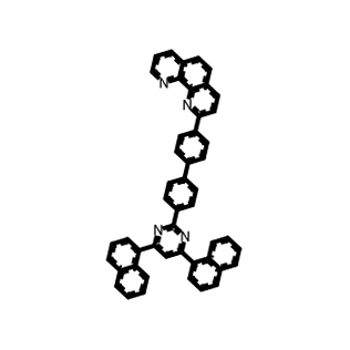 c1ccc2c(-c3cc(-c4cccc5ccccc45)nc(-c4ccc(-c5ccc(-c6ccc7ccc8cccnc8c7n6)cc5)cc4)n3)cccc2c1